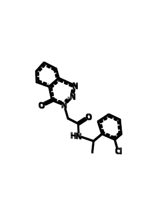 CC(NC(=O)Cn1nnc2ccccc2c1=O)c1ccccc1Cl